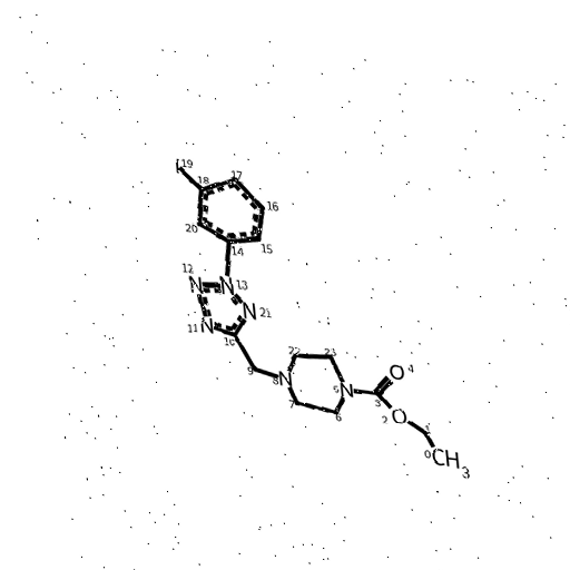 CCOC(=O)N1CCN(Cc2nnn(-c3cccc(I)c3)n2)CC1